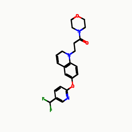 O=C(CCN1CC=Cc2cc(Oc3ccc(C(F)F)cn3)ccc21)N1CCOCC1